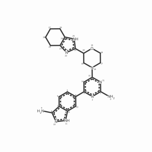 Nc1nc(-c2ccc3c(N)n[nH]c3c2)cc(N2CCOC(c3nc4c([nH]3)CCCC4)C2)n1